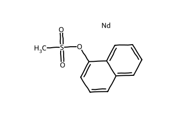 CS(=O)(=O)Oc1cccc2ccccc12.[Nd]